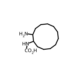 NC1CCCCCCCCCCC1NC(=O)O